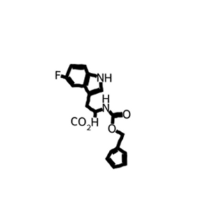 O=C(NC(Cc1c[nH]c2ccc(F)cc12)C(=O)O)OCc1ccccc1